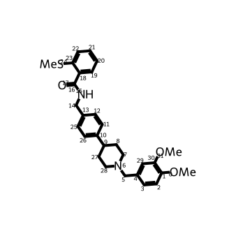 COc1ccc(CN2CCC(c3ccc(CNC(=O)c4ccccc4SC)cc3)CC2)cc1OC